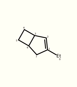 CCC1=CC2CCC2C1